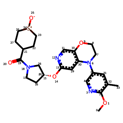 COc1ncc(N2CCOc3cnc(O[C@@H]4CCN(C(=O)C5CC[S+]([O-])CC5)C4)cc32)cc1C